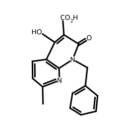 Cc1ccc2c(O)c(C(=O)O)c(=O)n(Cc3ccccc3)c2n1